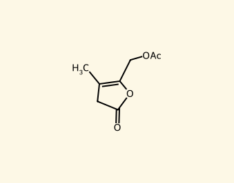 CC(=O)OCC1=C(C)CC(=O)O1